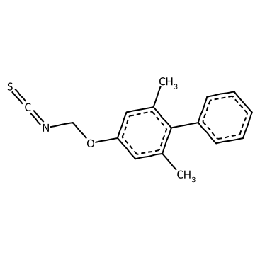 Cc1cc(OCN=C=S)cc(C)c1-c1ccccc1